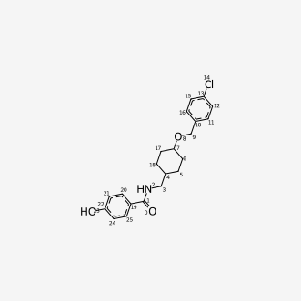 O=C(NCC1CCC(OCc2ccc(Cl)cc2)CC1)c1ccc(O)cc1